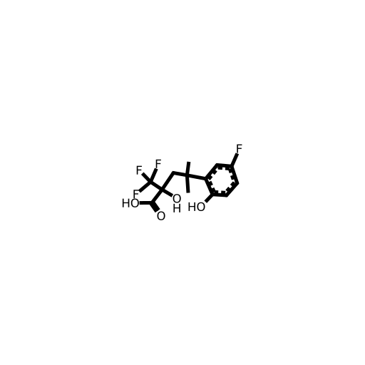 CC(C)(CC(O)(C(=O)O)C(F)(F)F)c1cc(F)ccc1O